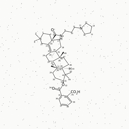 CC1(C)CC[C@]2(C(=O)NCCCN3CCCC3)CC[C@]3(C)C(=C2C1)CCC1[C@@]2(C)CC[C@H](OC(=O)c4ccccc4C(=O)O)C(C)(C)[C@@H]2CC[C@]13C